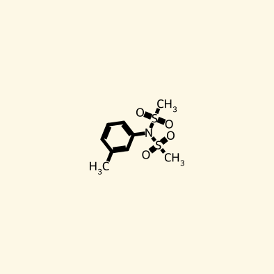 Cc1cccc(N(S(C)(=O)=O)S(C)(=O)=O)c1